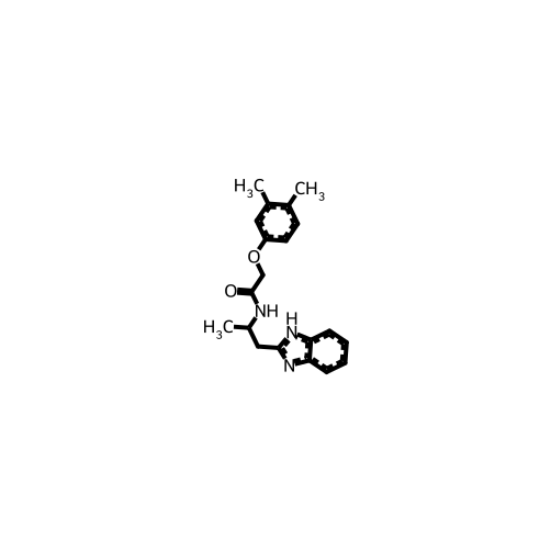 Cc1ccc(OCC(=O)NC(C)Cc2nc3ccccc3[nH]2)cc1C